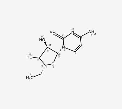 CC[C@H]1O[C@@H](n2ccc(N)nc2=O)[C@H](O)C1O